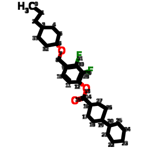 CCCC1CCC(OCc2ccc(OC(=O)C3CCC(C4CCCCC4)CC3)c(F)c2F)CC1